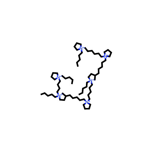 CCCCC[N+]1(CCCCCC[N+]2(CCCCCC3CC[N+](CCCCC)(CCCCC[N+]4(CCCCCC5CC[N+](CCCCC)(CCCC[N+]6(CCCCC)CCCC6)C5)CCCC4)C3)CCCC2)CCCC1